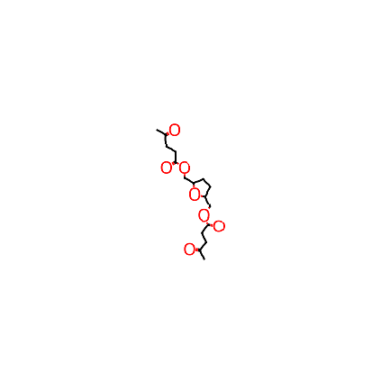 CC(=O)CCC(=O)OCC1CCC(COC(=O)CCC(C)=O)O1